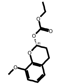 CCOC(=O)O[C@@H]1CCc2cccc(OC)c2O1